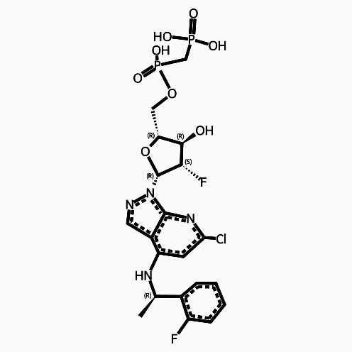 C[C@@H](Nc1cc(Cl)nc2c1cnn2[C@@H]1O[C@H](COP(=O)(O)CP(=O)(O)O)[C@@H](O)[C@@H]1F)c1ccccc1F